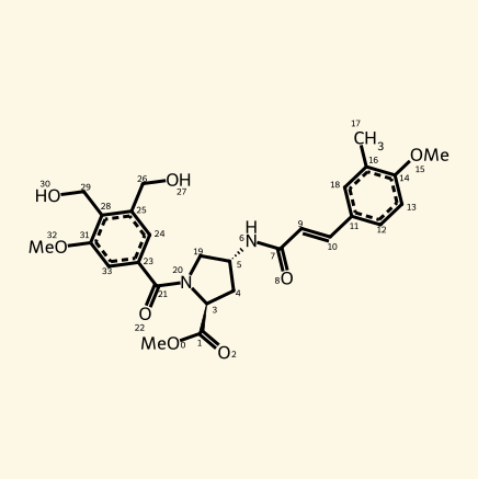 COC(=O)[C@@H]1C[C@@H](NC(=O)/C=C/c2ccc(OC)c(C)c2)CN1C(=O)c1cc(CO)c(CO)c(OC)c1